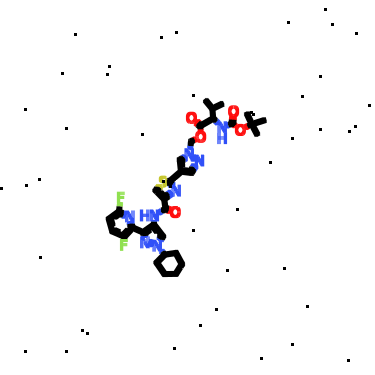 CC(C)C(NC(=O)OC(C)(C)C)C(=O)OCn1cc(-c2nc(C(=O)Nc3cn(C4CCCCC4)nc3-c3nc(F)ccc3F)cs2)cn1